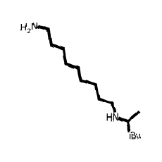 CCC(C)C(C)NCCCCCCCCCN